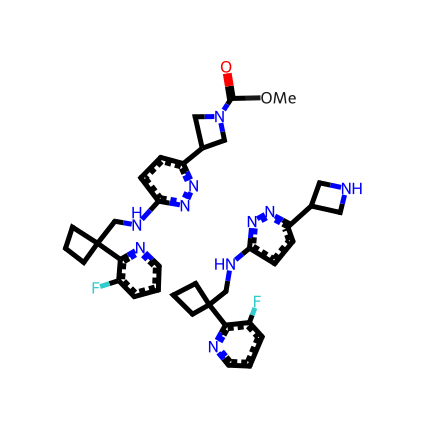 COC(=O)N1CC(c2ccc(NCC3(c4ncccc4F)CCC3)nn2)C1.Fc1cccnc1C1(CNc2ccc(C3CNC3)nn2)CCC1